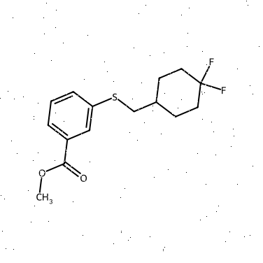 COC(=O)c1cccc(SCC2CCC(F)(F)CC2)c1